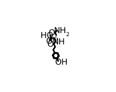 NC(=O)C[C@H](NC(=O)CCc1ccc(O)cc1)C(=O)O